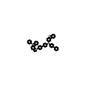 c1ccc(-c2ccc(N(c3ccc(-c4ccc(-n5ccc6ccc7c(c8ccccc8n7-c7ccccc7)c65)cc4)cc3)c3ccc4oc5ccccc5c4c3)cc2)cc1